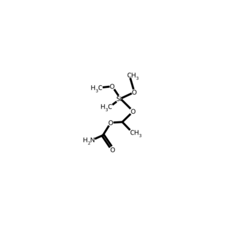 CO[Si](C)(OC)OC(C)OC(N)=O